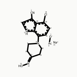 CC(=O)[O-].N#Cc1c[nH]c2c(N3CCC(=NO)CC3)ccc(Cl)c12.[Na+]